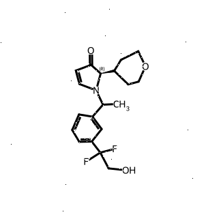 CC(c1cccc(C(F)(F)CO)c1)N1C=CC(=O)[C@H]1C1CCOCC1